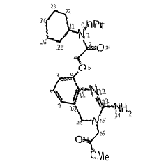 CCCN(C(=O)COc1cccc2c1N=C(N)N(CC(=O)OC)C2)C1CCCCC1